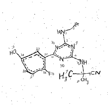 CC(C)Nc1nc(NC(C)(C)C#N)nc(-c2cc(O)ccc2F)n1